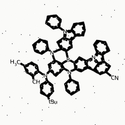 Cc1ccc(N(c2ccc(C(C)(C)C)cc2)c2cc3c4c(c2)N(c2ccccc2)c2cc5c(cc2B4c2cc4c(cc2N3c2ccccc2)c2cc(C#N)cc3c6ccccc6n4c32)c2ccccc2n5-c2ccccc2)c(C)c1